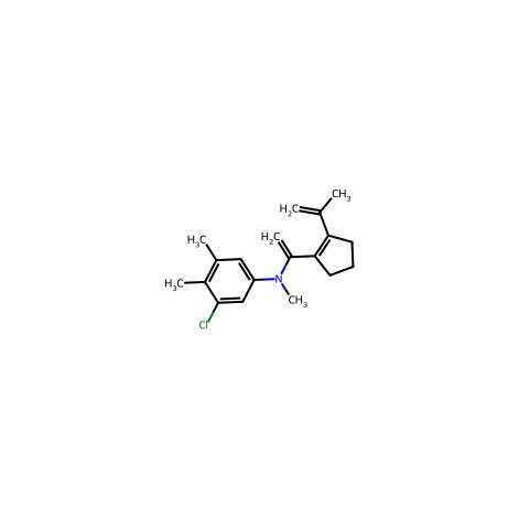 C=C(C)C1=C(C(=C)N(C)c2cc(C)c(C)c(Cl)c2)CCC1